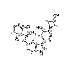 C[C@@H](Oc1ccc2[nH]nc(-c3cnc(N4CC(O)C4)c(C#N)c3)c2c1)c1c(Cl)cncc1Cl